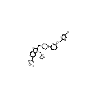 COC(=O)c1ccc2nc(CN3CCN(c4cccc(OCc5ncc(Br)cn5)n4)CC3)n(C[C@@H]3CCO3)c2c1